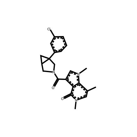 Cc1cn(C)c(=O)c2c(C(=O)N3CC4CC4(c4cccc(Cl)c4)C3)cn(C)c12